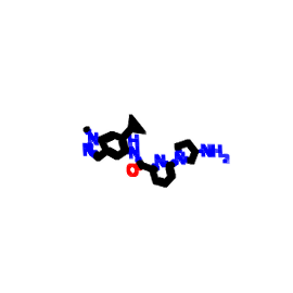 Cn1ncc2cc(NC(=O)c3cccc(N4CC[C@H](N)C4)n3)c(C3CC3)cc21